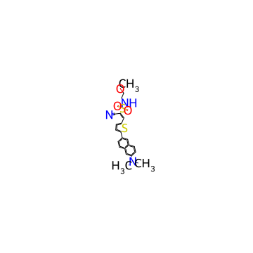 COCCNS(=O)(=O)/C(C#N)=C/c1ccc(-c2ccc3cc(N(C)C)ccc3c2)s1